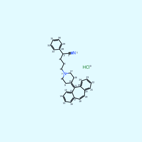 Cl.N#CC(CCCN1CCC(=C2c3ccccc3C=Cc3ccccc32)CC1)c1ccccc1